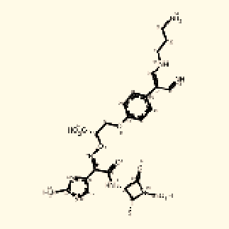 C[C@@H]1[C@H](NC(=O)/C(=N\O[C@@H](COc2ccc(/C(C=N)=C/NCCCN)cc2)C(=O)O)c2csc(N)n2)C(=O)N1S(=O)(=O)O